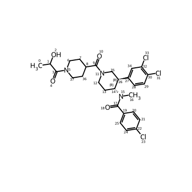 CC(O)C(=O)N1CCC(C(=O)N2CC[C@@H](N(C)C(=O)c3ccc(Cl)cc3)[C@H](c3ccc(Cl)c(Cl)c3)C2)CC1